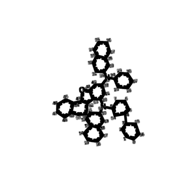 c1ccc(-c2cccc(N(c3ccc4ccccc4c3)c3cc(N(c4ccccc4)c4ccc5ccccc5c4)cc4oc5c6ccccc6ccc5c34)c2)cc1